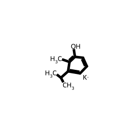 Cc1c(O)cccc1C(C)C.[K]